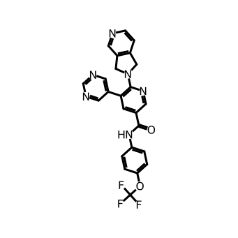 O=C(Nc1ccc(OC(F)(F)F)cc1)c1cnc(N2Cc3ccncc3C2)c(-c2cncnc2)c1